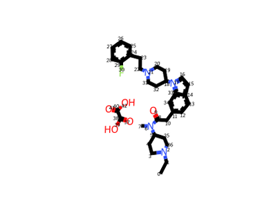 CCN1CCC(N(C)C(=O)Cc2ccc3ccn(C4CCN(CCc5ccccc5F)CC4)c3c2)CC1.O=C(O)C(=O)O